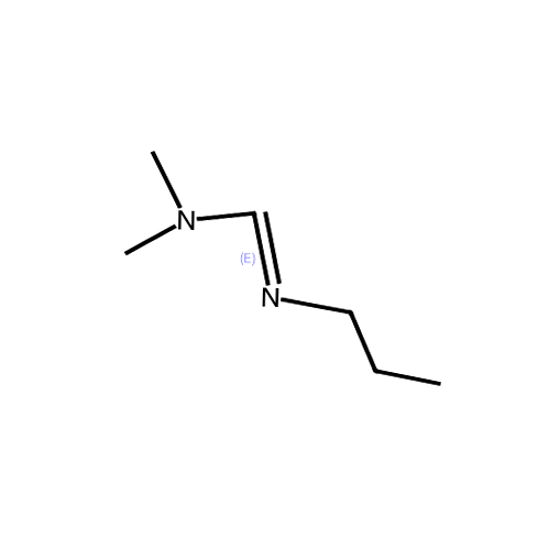 CCC/N=C/N(C)C